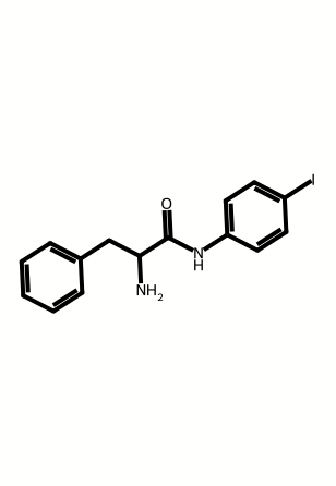 NC(Cc1ccccc1)C(=O)Nc1ccc(I)cc1